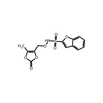 Cc1oc(=O)oc1CONS(=O)(=O)c1cc2ccccc2o1